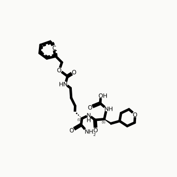 NC(=O)[C@H](CCCCNC(=O)OCc1ccccc1)NC(=O)[C@H](CC1CCOCC1)NC(=O)O